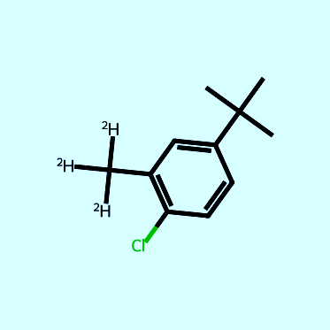 [2H]C([2H])([2H])c1cc(C(C)(C)C)ccc1Cl